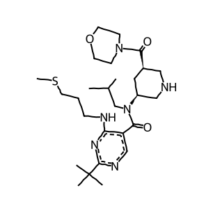 CSCCCNc1nc(C(C)(C)C)ncc1C(=O)N(CC(C)C)[C@@H]1CNC[C@H](C(=O)N2CCOCC2)C1